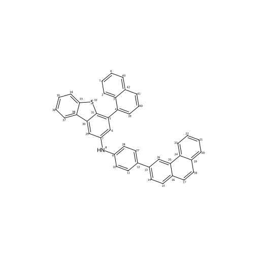 c1ccc2c(-c3cc(Nc4ccc(-c5ccc6ccc7ccccc7c6c5)cc4)cc4c3sc3ccccc34)cccc2c1